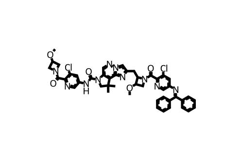 COC1CN(C(=O)c2ncc(NC(=O)N3CC(C)(C)c4c3cnn3cc(CC5C(OC)CN5C(=O)c5ncc(N=C(c6ccccc6)c6ccccc6)cc5Cl)nc43)cc2Cl)C1